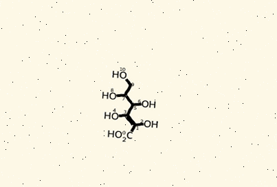 O=C(O)/C(O)=C(\O)C(O)C(O)CO